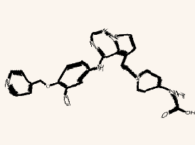 O=C(O)NC1CCN(Cc2ccn3ncnc(Nc4ccc(OCc5ccncc5)c(Cl)c4)c23)CC1